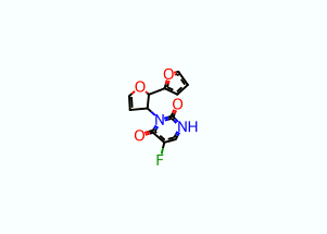 O=c1[nH]cc(F)c(=O)n1C1C=COC1c1ccco1